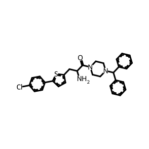 NC(Cc1ccc(-c2ccc(Cl)cc2)s1)C(=O)N1CCN(C(c2ccccc2)c2ccccc2)CC1